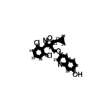 Oc1ccc2cc(OCc3c(-c4c(Cl)cccc4Cl)noc3C3CC3)cnc2c1